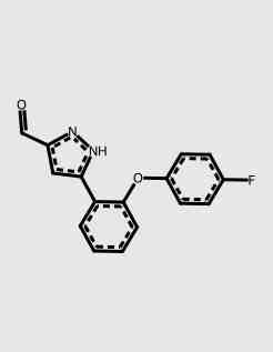 O=Cc1cc(-c2ccccc2Oc2ccc(F)cc2)[nH]n1